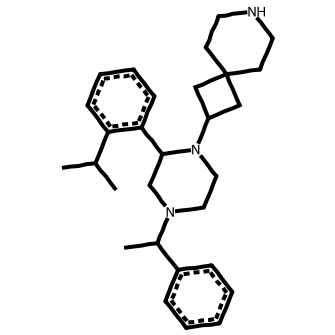 CC(C)c1ccccc1C1CN(C(C)c2ccccc2)CCN1C1CC2(CCNCC2)C1